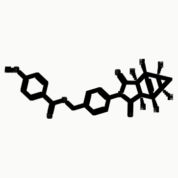 COc1ccc(C(=O)OCc2ccc(N3C(=O)[C@@H]4[C@@H]5C=C[C@@H]([C@H]6C[C@@H]56)[C@@H]4C3=O)cc2)cc1